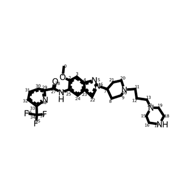 COc1cc2nn(C3CCN(CCCN4CCNCC4)CC3)cc2cc1NC(=O)c1cccc(C(F)(F)F)n1